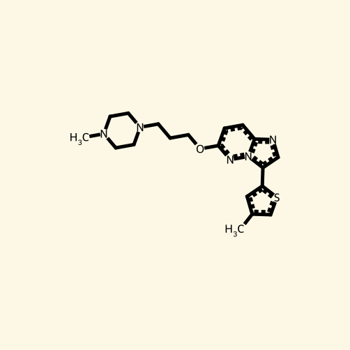 Cc1csc(-c2cnc3ccc(OCCCN4CCN(C)CC4)nn23)c1